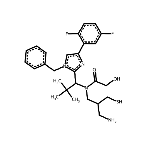 CC(C)(C)C(c1nc(-c2cc(F)ccc2F)cn1Cc1ccccc1)N(CC(CN)CS)C(=O)CO